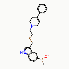 C[S+]([O-])c1ccc2[nH]cc(CSCCN3CC=C(c4ccccc4)CC3)c2c1